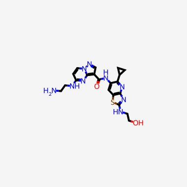 NCCNc1ccn2ncc(C(=O)Nc3cc4sc(NCCO)nc4nc3C3CC3)c2n1